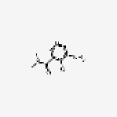 CN(C)C(=O)c1cncc(N)c1O